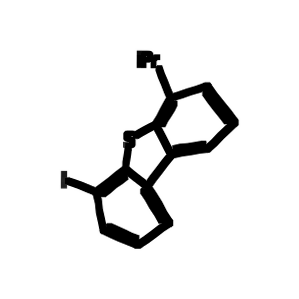 CC(C)c1cccc2c1sc1c(I)cccc12